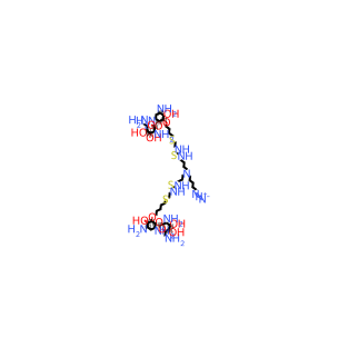 [N-]=[N+]=NCCCCCN(CCCCNC(=S)NCCSCCCCO[C@@H]1C(O)[C@H](N)CC(N)[C@H]1O[C@H]1OC(CN)[C@@H](O)[C@H](O)C1N)CCCNC(=S)NCCSCCCCCO[C@@H]1C(O)[C@H](N)CC(N)[C@H]1O[C@H]1OC(CN)[C@@H](O)[C@H](O)C1N